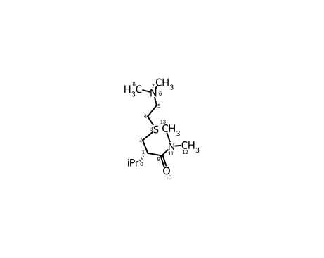 CC(C)[C@H](CSCCN(C)C)C(=O)N(C)C